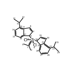 C[C](C)=[Zr]([Cl])([Cl])([CH]1C=Cc2c(C(C)C)cccc21)[CH]1C=Cc2c(C(C)C)cccc21